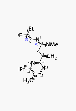 C=C(C/C(=N\C=C(\F)CC)NC)c1ncc(C)c(C(C)C)n1